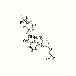 Nc1ccc(OCC(F)(F)F)cc1-c1cc(C(=O)NCc2cccc(C(F)(F)F)c2)ccn1